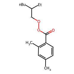 CCCCC([CH]OOC(=O)c1ccc(C)cc1C)CC